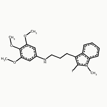 COc1cc(NCCCc2c(I)n(C)c3ccccc23)cc(OC)c1OC